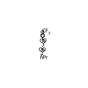 CCC/C=C/[C@H]1CO[C@H](CCC2COC(c3ccc(OC(F)(F)F)cc3)OC2)OC1